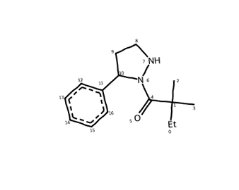 CCC(C)(C)C(=O)N1NCCC1c1ccccc1